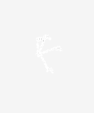 CCCCCCCCCCC1(CCCCCCCC)CCCC1(CCCCCCCCCC)CCCCCCCCCC